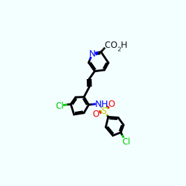 O=C(O)c1ccc(C#Cc2cc(Cl)ccc2NS(=O)(=O)c2ccc(Cl)cc2)cn1